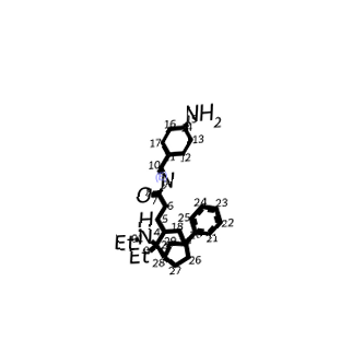 CCNC1(CC)C(CCC(=O)/N=C/C2CCC(N)CC2)CC2(c3ccccc3)CCC1C2